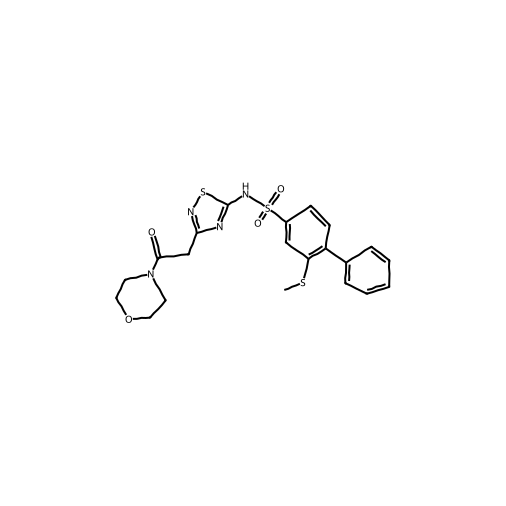 CSc1cc(S(=O)(=O)Nc2nc(CC(=O)N3CCOCC3)ns2)ccc1-c1ccccc1